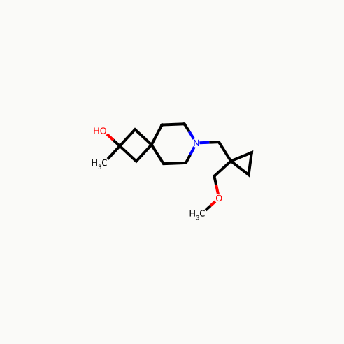 COCC1(CN2CCC3(CC2)CC(C)(O)C3)CC1